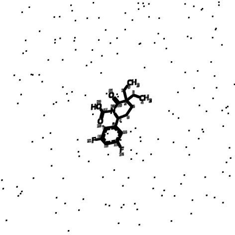 CCC1(CC)CCC(c2cc(F)cc(F)c2)N(C(=O)O)C1=O